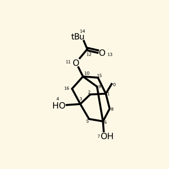 CC12CC3(O)CC(O)(C1)CC(OC(=O)C(C)(C)C)(C2)C3